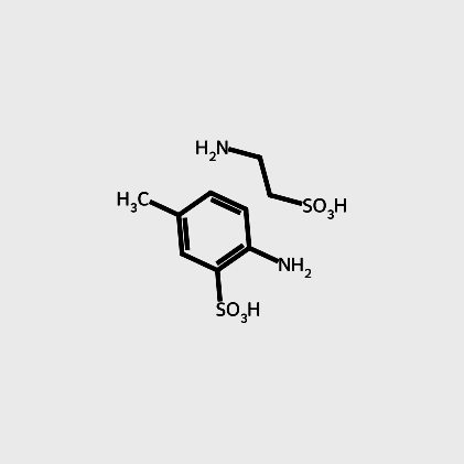 Cc1ccc(N)c(S(=O)(=O)O)c1.NCCS(=O)(=O)O